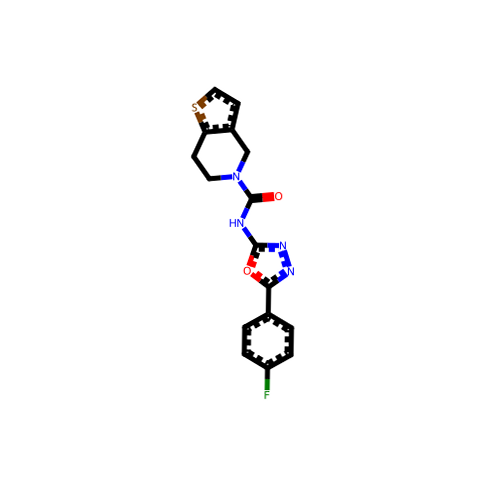 O=C(Nc1nnc(-c2ccc(F)cc2)o1)N1CCc2sccc2C1